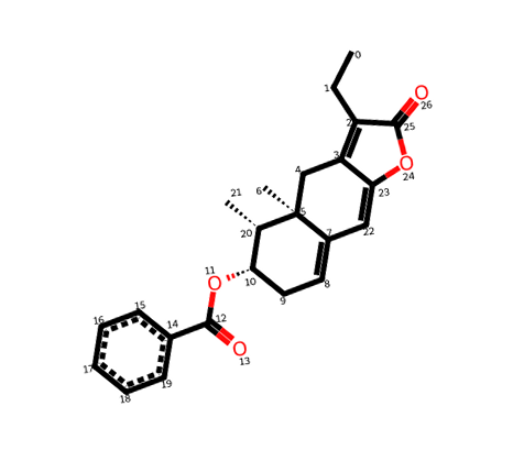 CCC1=C2C[C@@]3(C)C(=CC[C@H](OC(=O)c4ccccc4)[C@@H]3C)C=C2OC1=O